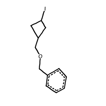 IC1CC(COCc2ccccc2)C1